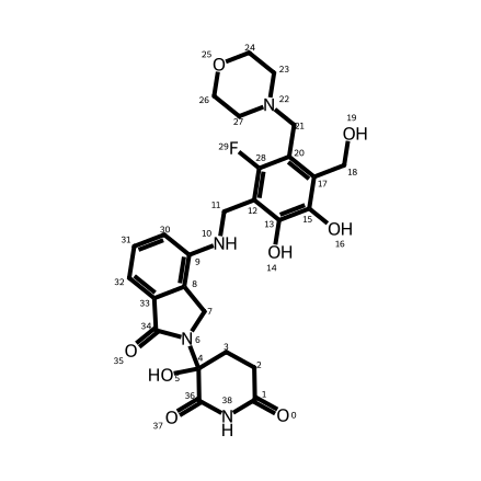 O=C1CCC(O)(N2Cc3c(NCc4c(O)c(O)c(CO)c(CN5CCOCC5)c4F)cccc3C2=O)C(=O)N1